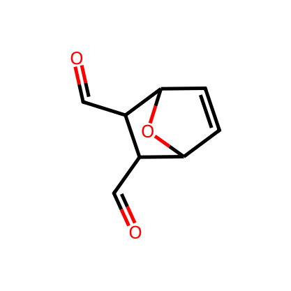 O=CC1C2C=CC(O2)C1C=O